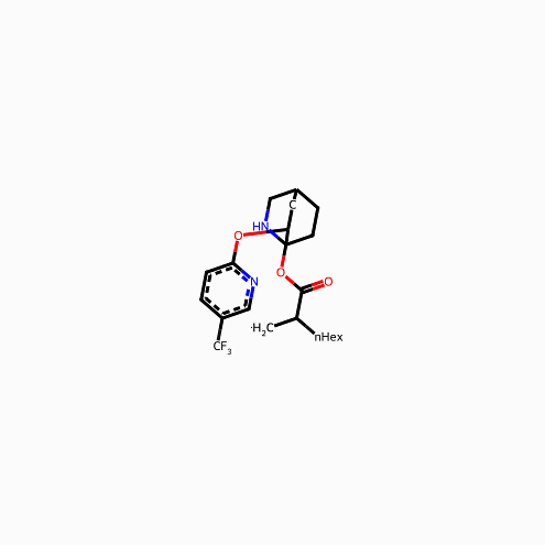 [CH2]C(CCCCCC)C(=O)OC12CCC(CN1)CC2Oc1ccc(C(F)(F)F)cn1